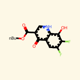 CCCCOC(=O)c1c[nH]c2c(O)c(F)c(F)cc2c1=O